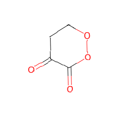 O=C1CCOOC1=O